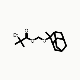 CCC(C)(C)C(=O)OCOC1(C)C2CC3CC(C2)CC1C3